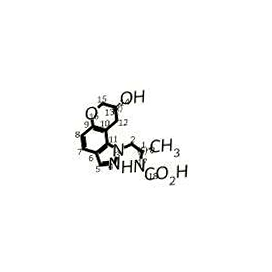 C[C@@H](Cn1ncc2ccc3c(c21)C[C@@H](O)CO3)NC(=O)O